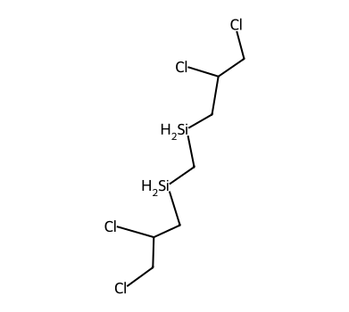 ClCC(Cl)C[SiH2]C[SiH2]CC(Cl)CCl